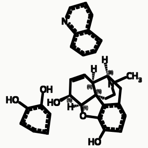 CN1CC[C@]23c4c5ccc(O)c4O[C@H]2[C@@H](O)C=C[C@H]3[C@H]1C5.Oc1ccccc1O.c1ccc2ncccc2c1